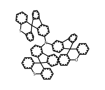 c1ccc2c(c1)Oc1ccccc1C21c2ccccc2-c2cc(N(c3ccc4c(c3)C3(c5ccccc5Sc5ccccc53)c3ccccc3-4)c3cccc4c3-c3ccccc3C43c4ccccc4Sc4ccccc43)ccc21